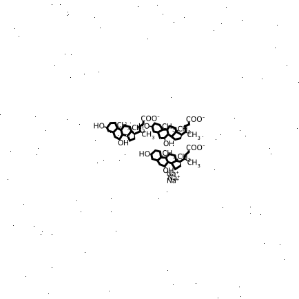 C[C@H](CCC(=O)[O-])[C@H]1CCC2C3C(CC[C@@]21C)[C@@]1(C)CC[C@H](O)CC1C[C@@H]3O.C[C@H](CCC(=O)[O-])[C@H]1CCC2C3C(CC[C@@]21C)[C@@]1(C)CC[C@H](O)CC1C[C@@H]3O.C[C@H](CCC(=O)[O-])[C@H]1CCC2C3C(CC[C@@]21C)[C@@]1(C)CC[C@H](O)CC1C[C@@H]3O.[Na+].[Na+].[Na+]